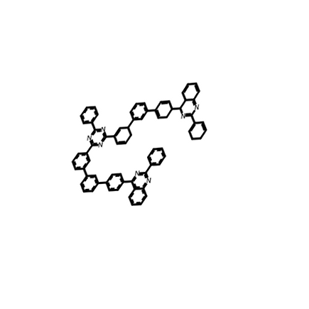 C1=CC2=NC(C3=CCCC=C3)=NC(C3C=CC(c4cccc(C5C=C(c6nc(-c7ccccc7)nc(-c7cccc(-c8cccc(-c9ccc(-c%10nc(-c%11ccccc%11)nc%11ccccc%10%11)cc9)c8)c7)n6)C=CC5)c4)=CC3)C2C=C1